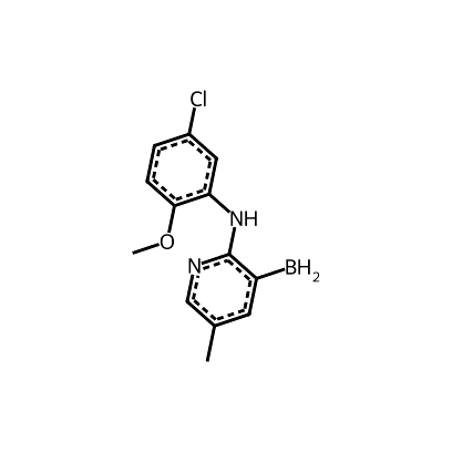 Bc1cc(C)cnc1Nc1cc(Cl)ccc1OC